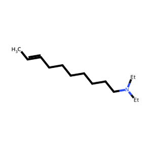 CC=CCCCCCCCN(CC)CC